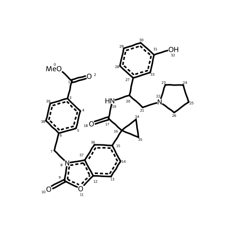 COC(=O)c1ccc(Cn2c(=O)oc3ccc(C4(C(=O)NC(CN5CCCC5)c5cccc(O)c5)CC4)cc32)cc1